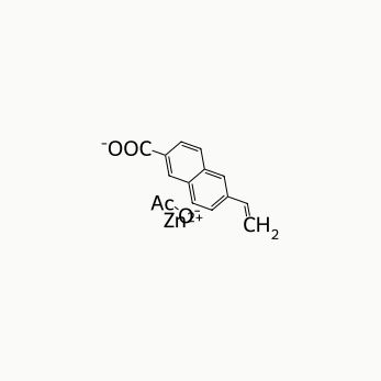 C=Cc1ccc2cc(C(=O)[O-])ccc2c1.CC(=O)[O-].[Zn+2]